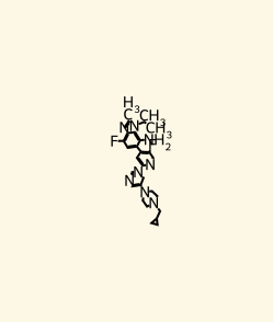 Cc1nc2c(F)cc(-c3cc(N4C=NC=C(N5CCN(CC6CC6)CC5)C4)ncc3F)c(N)c2n1C(C)C